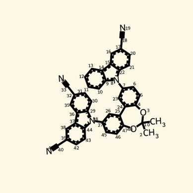 CC1(C)Oc2ccc(-n3c4ccccc4c4cc(C#N)ccc43)cc2-c2cc(-n3c4ccc(C#N)cc4c4cc(C#N)ccc43)ccc2O1